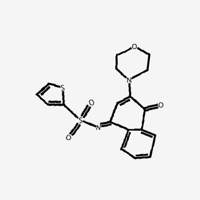 O=C1C(N2CCOCC2)=CC(=NS(=O)(=O)c2cccs2)c2ccccc21